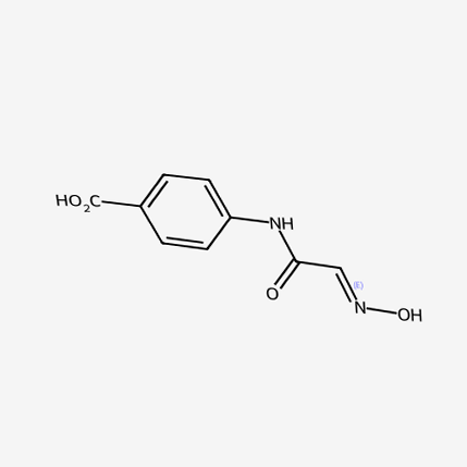 O=C(/C=N/O)Nc1ccc(C(=O)O)cc1